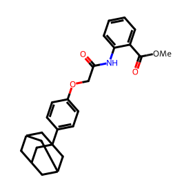 COC(=O)c1ccccc1NC(=O)COc1ccc(C23CC4CC(CC(C4)C2)C3)cc1